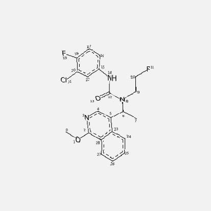 COc1ncc(C(C)N(CCF)C(=O)Nc2ccc(F)c(Cl)c2)c2ccccc12